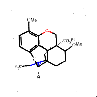 CCOC(=O)[C@@]12COc3c(OC)ccc4c3[C@@]13CCN(C)[C@H](C4)C3CCC2OC